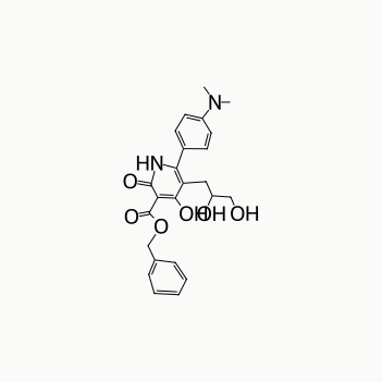 CN(C)c1ccc(-c2[nH]c(=O)c(C(=O)OCc3ccccc3)c(O)c2CC(O)CO)cc1